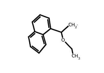 [CH2]C(OCC)c1cccc2ccccc12